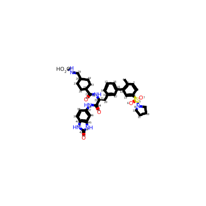 Cc1ccc(S(=O)(=O)N2CCCC2)cc1-c1cccc(C[C@H](NC(=O)C2CCC(CNC(=O)O)CC2)C(=O)Nc2ccc3[nH]c(=O)[nH]c3c2)c1